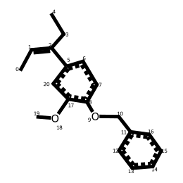 C/C=C(/CC)c1ccc(OCc2ccccc2)c(OC)c1